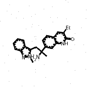 CCc1cc2ccc(C(C)(N)Cc3c4ccccc4nn3C)cc2[nH]c1=O